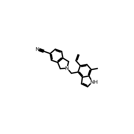 C=Cc1cc(C)c2[nH]ccc2c1CN1Cc2ccc(C#N)cc2C1